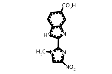 Cn1cc([N+](=O)[O-])nc1-c1nc2cc(C(=O)O)ccc2[nH]1